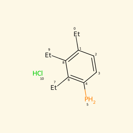 CCc1ccc(P)c(CC)c1CC.Cl